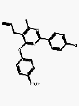 C=CCc1c(C)nc(-c2ccc(Cl)cc2)nc1Oc1ccc(C(=O)OCC)cc1